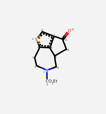 CCOC(=O)N1CCc2scc3c2C(CC3=O)C1